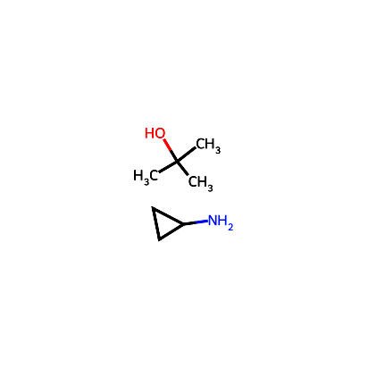 CC(C)(C)O.NC1CC1